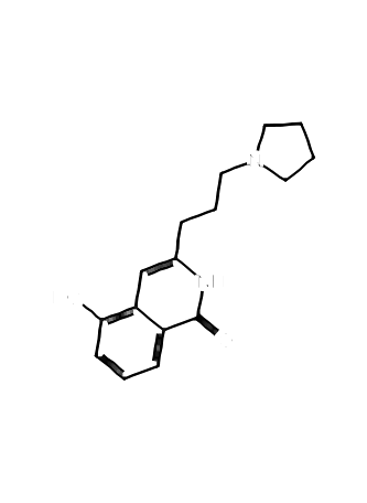 O=c1[nH]c(CCCN2CCCC2)cc2c(O)cccc12